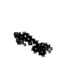 COc1cc2c(cc1OC)[C@H]1CC(=O)[C@H](CCCCO[Si](c3ccccc3)(c3ccccc3)C(C)(C)C)CN1CC2